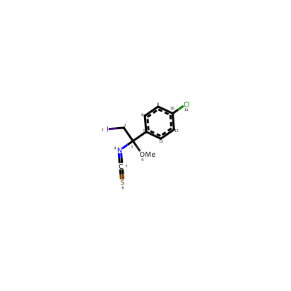 COC(CI)(N=C=S)c1ccc(Cl)cc1